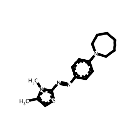 Cc1csc(/N=N/c2ccc(N3CCCCCC3)cc2)[n+]1C